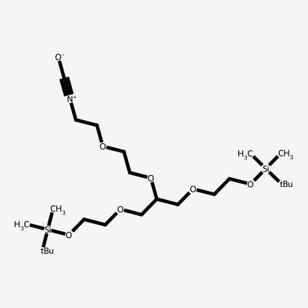 CC(C)(C)[Si](C)(C)OCCOCC(COCCO[Si](C)(C)C(C)(C)C)OCCOCC[N+]#C[O-]